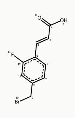 O=C(O)C=Cc1ccc(CBr)cc1F